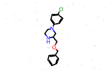 Clc1ccc(N2CCNC(COCc3ccccc3)C2)cc1